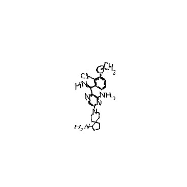 COc1cccc(C(=N)c2ncc(N3CCC4(CCC[C@H]4N)CC3)nc2N)c1Cl